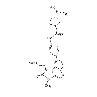 COCCn1c(=O)n(C)c2cnc3ccc(-c4ccc(NC(=O)N5CCC(N(C)C)C5)cc4)cc3c21